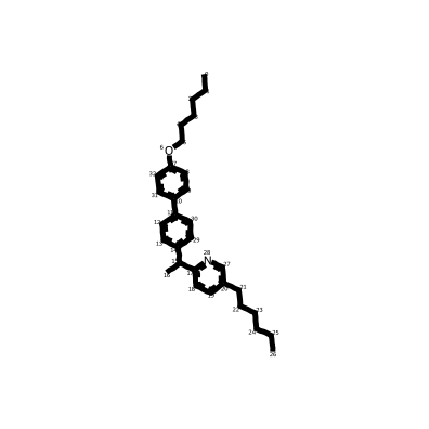 CCCCCCOc1ccc(-c2ccc(C(C)c3ccc(CCCCCC)cn3)cc2)cc1